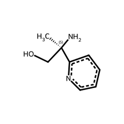 C[C@@](N)(CO)c1ccccn1